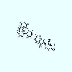 O=C1CCN(N2Cc3cc(CN4CC=C(c5ncnc6sc7c(c56)CCCC7)CC4)ccc3C2=O)C(=O)N1